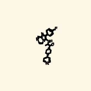 CC(Nc1c(-c2ccc(F)cc2)nc2cnccn12)C(=O)N1CCN(c2ccncc2)CC1